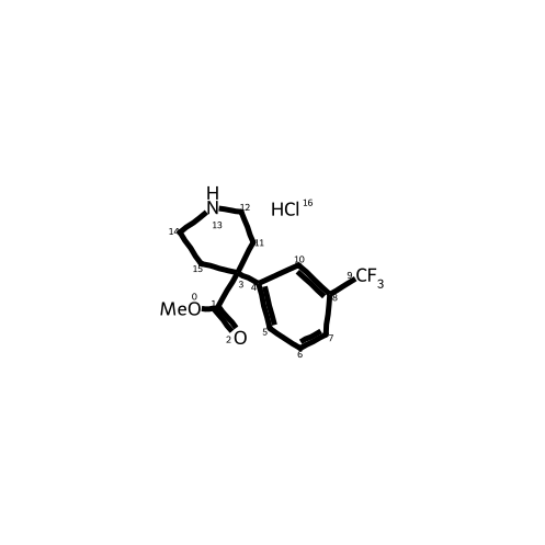 COC(=O)C1(c2cccc(C(F)(F)F)c2)CCNCC1.Cl